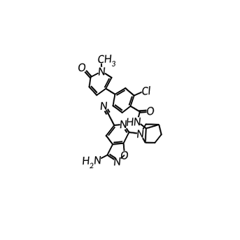 Cn1cc(-c2ccc(C(=O)NC3C4CCC3N(c3nc(C#N)cc5c(N)noc35)C4)c(Cl)c2)ccc1=O